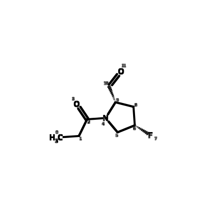 CCC(=O)N1C[C@@H](F)C[C@H]1C=O